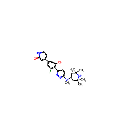 CN(c1ccc(-c2c(O)cc(-c3cc[nH]c(=O)c3)cc2F)nn1)C1CC(C)(C)NC(C)(C)C1